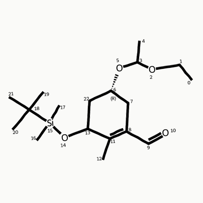 CCOC(C)O[C@@H]1CC(C=O)=C(C)C(O[Si](C)(C)C(C)(C)C)C1